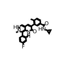 Cc1ccc(C(=O)NC2CC2)cc1-c1cc2c([nH]c1=O)=C(c1ccc(F)cc1F)N(C)NC=2